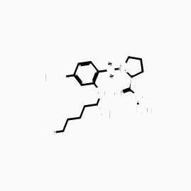 Cc1ccc(S(=O)(=O)N2CCC[C@H]2C(=O)OC(C)(C)C)c(O[C@H](C)CCCCO)c1